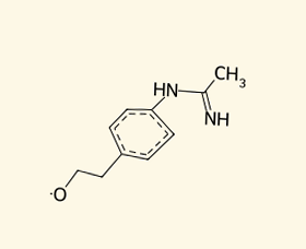 CC(=N)Nc1ccc(CC[O])cc1